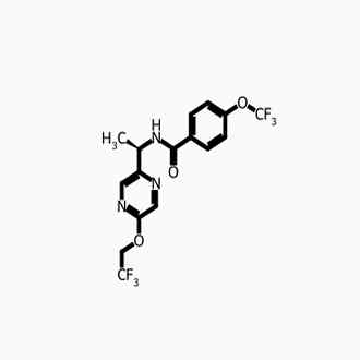 C[C@@H](NC(=O)c1ccc(OC(F)(F)F)cc1)c1cnc(OCC(F)(F)F)cn1